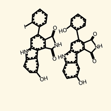 O=C1NC(=O)c2c1c(-c1ccccc1I)cc1[nH]c3ccc(O)cc3c21.O=C1NC(=O)c2c1c(-c1ccccc1O)cc1[nH]c3ccc(O)cc3c21